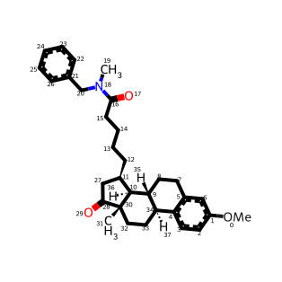 COc1ccc2c(c1)CC[C@H]1[C@@H]3[C@H](CCCCC(=O)N(C)Cc4ccccc4)CC(=O)[C@@]3(C)CC[C@H]21